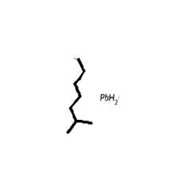 [CH2]CCCCC(C)C.[PbH2]